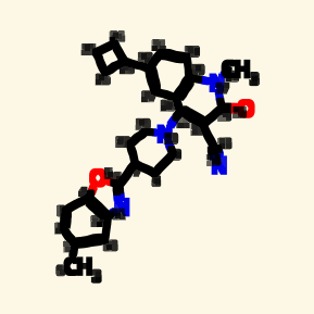 Cc1ccc2oc(C3CCN(c4c(C#N)c(=O)n(C)c5ccc(C6CCC6)cc45)CC3)nc2c1